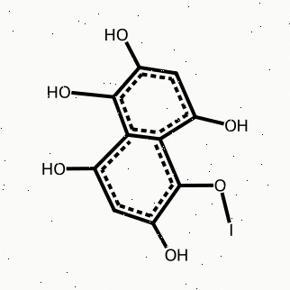 Oc1cc(O)c2c(OI)c(O)cc(O)c2c1O